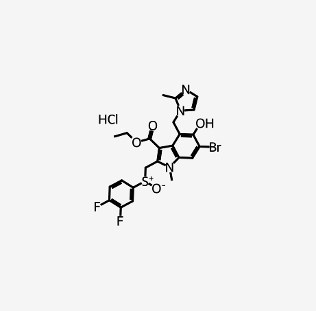 CCOC(=O)c1c(C[S+]([O-])c2ccc(F)c(F)c2)n(C)c2cc(Br)c(O)c(Cn3ccnc3C)c12.Cl